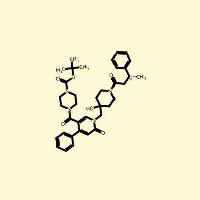 C[C@H](CC(=O)N1CCC(O)(Cn2cc(C(=O)N3CCN(C(=O)OC(C)(C)C)CC3)c(-c3ccccc3)cc2=O)CC1)c1ccccc1